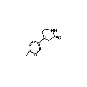 O=C1CN(c2ccc(I)nc2)CCN1